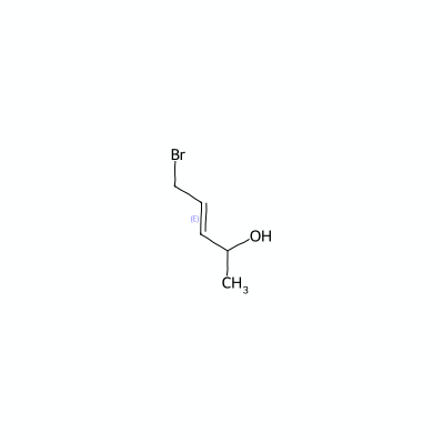 CC(O)/C=C/CBr